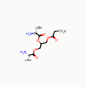 CC[C@H](C)[C@H](N)C(=O)OCC(COC(=O)CC(=O)O)OC(=O)[C@@H](N)[C@@H](C)CC